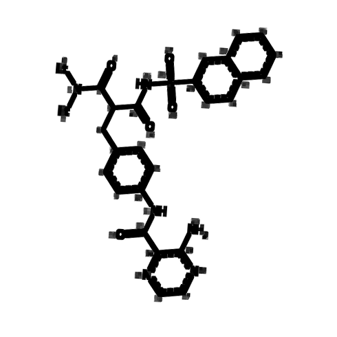 CCN(CC)C(=O)C(Cc1ccc(NC(=O)c2nccnc2N)cc1)C(=O)NS(=O)(=O)c1ccc2ccccc2c1